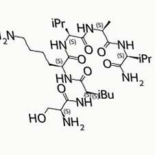 CC[C@H](C)[C@H](NC(=O)[C@@H](N)CO)C(=O)N[C@@H](CCCCN)C(=O)N[C@H](C(=O)N[C@@H](C)C(=O)N[C@H](C(N)=O)C(C)C)C(C)C